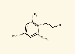 Cc1cc(C)c(CCO)c(C)c1